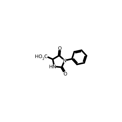 O=C(O)C1NC(=O)N(c2ccccc2)C1=O